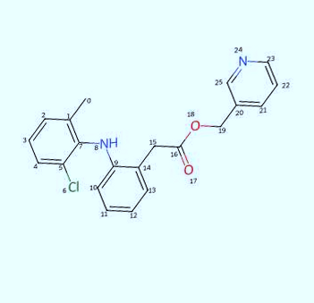 Cc1cccc(Cl)c1Nc1ccccc1CC(=O)OCc1cccnc1